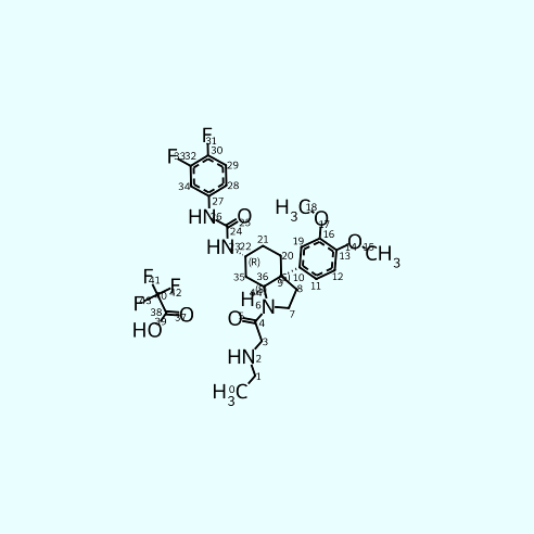 CCNCC(=O)N1CC[C@]2(c3ccc(OC)c(OC)c3)CC[C@@H](NC(=O)Nc3ccc(F)c(F)c3)C[C@H]12.O=C(O)C(F)(F)F